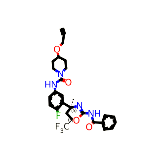 C#CCOC1CCN(C(=O)Nc2ccc(F)c([C@]3(C)C[C@@H](C(F)(F)F)OC(NC(=O)c4ccccc4)=N3)c2)CC1